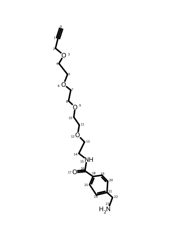 C#CCOCCOCCOCCOCCNC(=O)c1ccc(CN)cc1